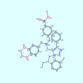 CCCC[N+]1(c2ccccc2C)C=NC(c2ccccc2)=C1CN(Cc1ccc(C(=O)OC)cc1)Cc1ccc2c(c1)OCCO2